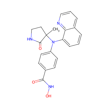 CC1(N(c2ccc(C(=O)NO)cc2)c2cccc3cccnc23)CCNC1=O